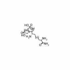 NC(=O)C(N)CSSC[C@H](N)C(=O)N(CP(=O)(O)O)CP(=O)(O)O